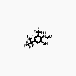 O=CNc1c(S)cc(C(F)(C(F)(F)F)C(F)(F)F)cc1C(F)(F)F